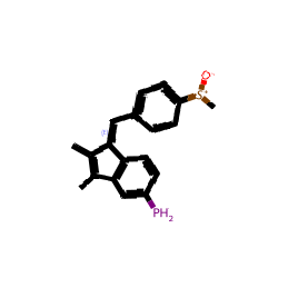 CC1=C(C)c2cc(P)ccc2/C1=C\c1ccc([S+](C)[O-])cc1